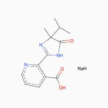 CC(C)C1(C)N=C(c2ncccc2C(=O)O)NC1=O.[NaH]